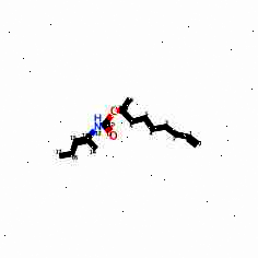 C=CCCCCCC(C)OC(=O)N/C(C)=C/CC